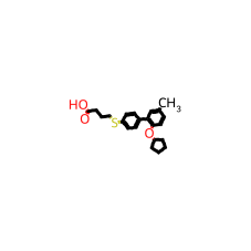 Cc1ccc(OC2CCCC2)c(-c2ccc(SCCCC(=O)O)cc2)c1